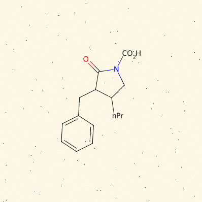 CCCC1CN(C(=O)O)C(=O)C1Cc1ccccc1